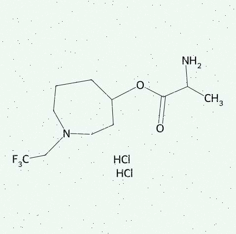 CC(N)C(=O)OC1CCCN(CC(F)(F)F)CC1.Cl.Cl